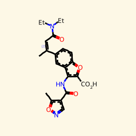 CCN(CC)C(=O)/C=C(/C)c1ccc2oc(C(=O)O)c(NC(=O)c3cnoc3C)c2c1